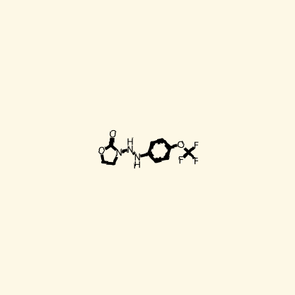 O=C1OCCN1NNc1ccc(OC(F)(F)F)cc1